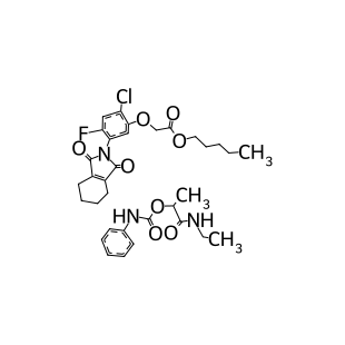 CCCCCOC(=O)COc1cc(N2C(=O)C3=C(CCCC3)C2=O)c(F)cc1Cl.CCNC(=O)C(C)OC(=O)Nc1ccccc1